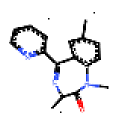 Cc1ccc2c(c1)C(c1ccccn1)=NC(C)C(=O)N2C